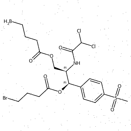 BCCCC(=O)OC[C@@H](NC(=O)C(Cl)Cl)[C@H](OC(=O)CCCBr)c1ccc(S(C)(=O)=O)cc1